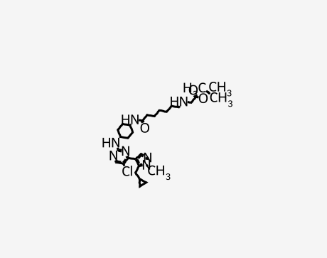 Cn1ncc(-c2nc(N[C@H]3CC[C@H](NC(=O)CCCCCCNCC(=O)OC(C)(C)C)CC3)ncc2Cl)c1CC1CC1